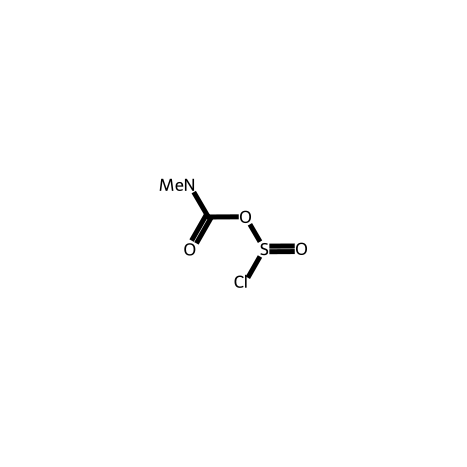 CNC(=O)OS(=O)Cl